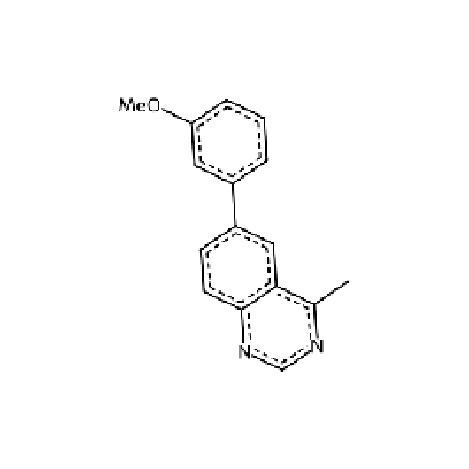 COc1cccc(-c2ccc3ncnc(C)c3c2)c1